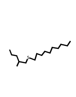 CCCCCCCCCCSCC(C)CCC